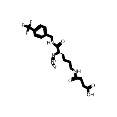 [N-]=[N+]=N[C@@H](CCCCNC(=O)CCC(=O)O)C(=O)NCc1ccc(C(F)(F)F)cc1